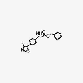 Cc1ncsc1-c1ccc(C(N)CC(=O)OCc2ccccc2)cc1